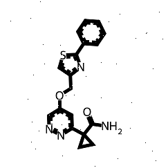 NC(=O)C1(c2cc(OCc3csc(-c4ccccc4)n3)cnn2)CC1